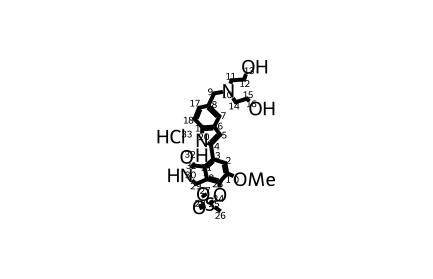 COc1cc(-c2cc3cc(CN(CCO)CCO)ccc3[nH]2)c2c(c1OS(C)(=O)=O)CNC2=O.Cl